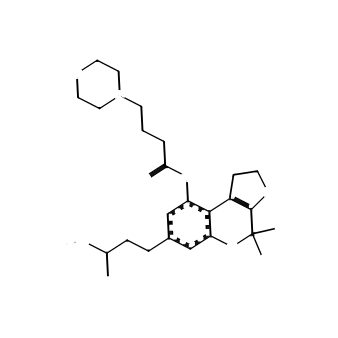 CCCCCC(C)CCc1cc(OC(=O)CCCN2CCOCC2)c2c(c1)OC(C)(C)C1=C2CCS1.Cl